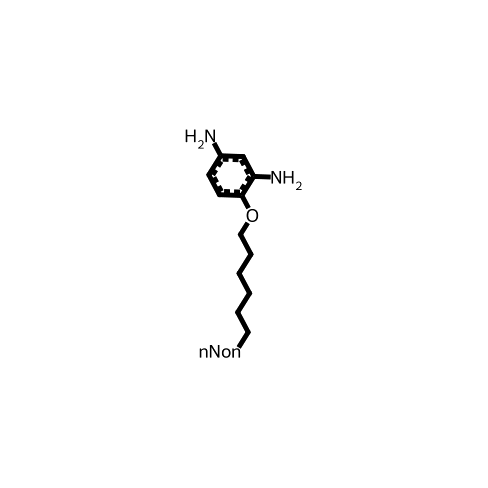 CCCCCCCCCCCCCCCOc1ccc(N)cc1N